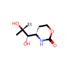 CC[C@@](C)(O)[C@@H](O)[C@@H]1CCOC(=O)N1